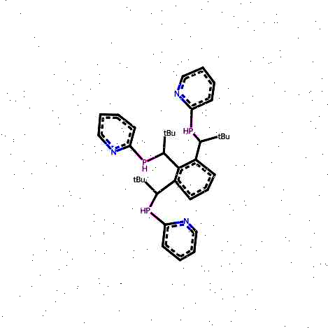 CC(C)(C)C(Pc1ccccn1)c1cccc(C(Pc2ccccn2)C(C)(C)C)c1C(Pc1ccccn1)C(C)(C)C